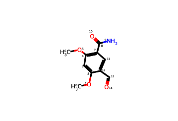 COc1cc(OC)c(C(N)=O)cc1C=O